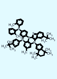 Cc1cc2c3c(c1)N(c1ccc4c(c1)C(C)(C)CCC4(C)C)c1c(sc4ccc(C(C)(C)C)cc14)B3c1ccc(N(c3ccccc3C)c3ccccc3C)cc1N2c1ccc(C(C)(C)C)cc1